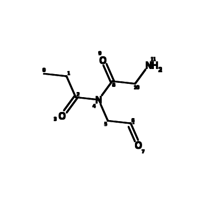 CCC(=O)N(C[C]=O)C(=O)CN